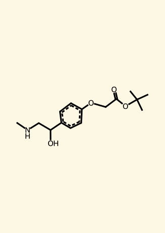 CNCC(O)c1ccc(OCC(=O)OC(C)(C)C)cc1